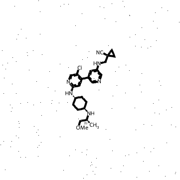 COC[C@H](C)N[C@H]1CC[C@H](Nc2cc(-c3cncc(NCC4(C#N)CC4)c3)c(Cl)cn2)CC1